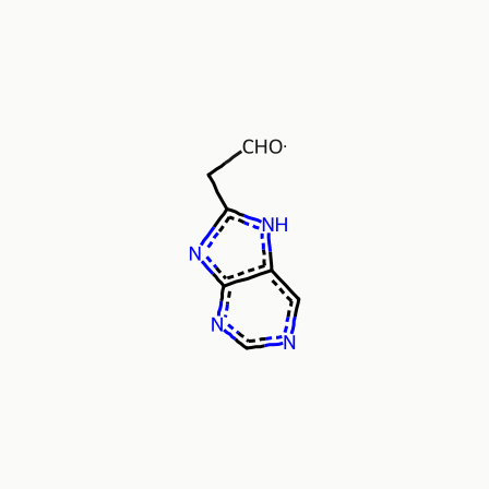 O=[C]Cc1nc2ncncc2[nH]1